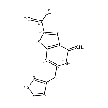 C=C1NC(Cc2ccsc2)=Nc2sc(C(=O)O)cc21